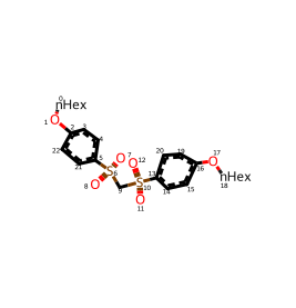 CCCCCCOc1ccc(S(=O)(=O)CS(=O)(=O)c2ccc(OCCCCCC)cc2)cc1